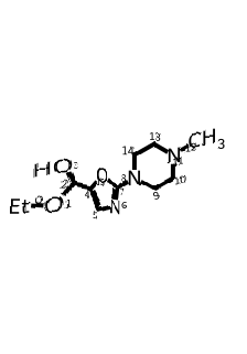 CCOC(O)c1cnc(N2CCN(C)CC2)o1